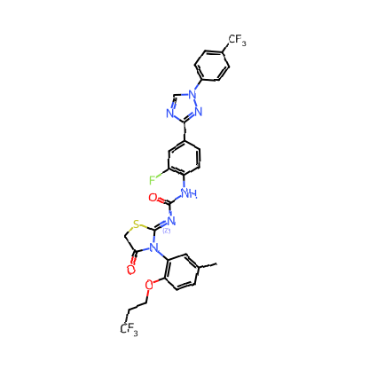 Cc1ccc(OCCC(F)(F)F)c(N2C(=O)CS/C2=N\C(=O)Nc2ccc(-c3ncn(-c4ccc(C(F)(F)F)cc4)n3)cc2F)c1